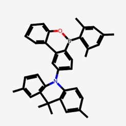 Cc1cc(C)c(B2Oc3ccccc3-c3cc(N4c5ccc(C)cc5C(C)(C)c5cc(C)ccc54)ccc32)c(C)c1